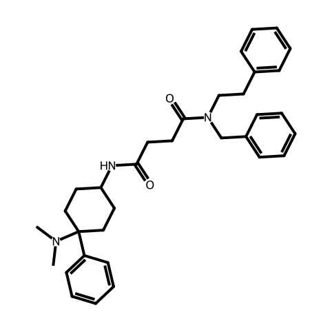 CN(C)C1(c2ccccc2)CCC(NC(=O)CCC(=O)N(CCc2ccccc2)Cc2ccccc2)CC1